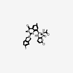 CC(=O)NS(=O)(=O)c1nc(Cl)ccc1N[C@H](C)c1cc(C)cc2c(=O)n(C)c(N3Cc4ccc(F)cc4C3)nc12